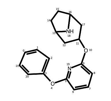 c1ccc(Oc2cccc(OC3CC4CCC(C3)N4)n2)cc1